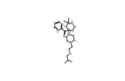 CC(C)COCCN1CCN([C@]2(C(=O)c3ccccn3)CCOC(C)(C)C2)CC1